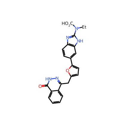 CCN(C(=O)O)c1nc2ccc(-c3ccc(Cc4n[nH]c(=O)c5ccccc45)o3)cc2[nH]1